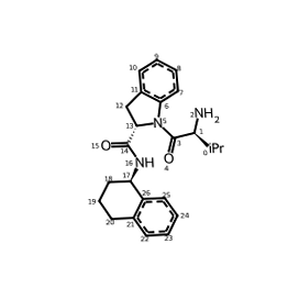 CC(C)[C@H](N)C(=O)N1c2ccccc2C[C@H]1C(=O)N[C@@H]1CCCc2ccccc21